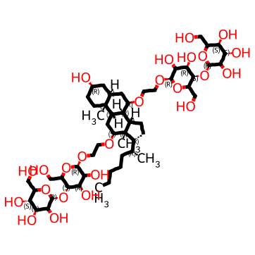 CCCCC[C@@H](C)[C@H]1CC[C@H]2[C@@H]3[C@H](OCCO[C@@H]4OC(CO)[C@@H](O[C@H]5OC(CO)[C@@H](O)[C@H](O)C5O)[C@H](O)C4O)C[C@@H]4C[C@H](O)CC[C@]4(C)[C@H]3C[C@H](OCCO[C@@H]3OC(CO)[C@@H](O[C@H]4OC(CO)[C@@H](O)[C@H](O)C4O)[C@H](O)C3O)[C@]12C